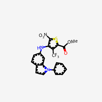 COC(=O)c1sc([N+](=O)[O-])c(Nc2ccc3ccn(-c4ccccc4)c3c2)c1C(F)(F)F